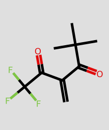 C=C(C(=O)C(C)(C)C)C(=O)C(F)(F)F